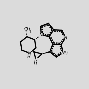 C[C@H]1CCNC[C@H]1n1ccc2cnc3[nH]cc([C@@H]4CN4)c3c21